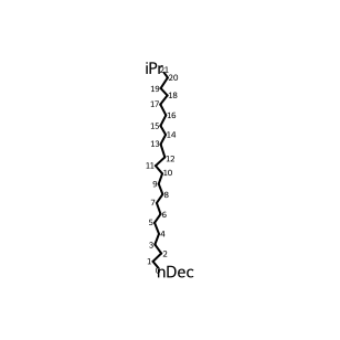 [CH2]CCCCCCCCCCCCCCCCCCCCCCCCCCCCCC(C)C